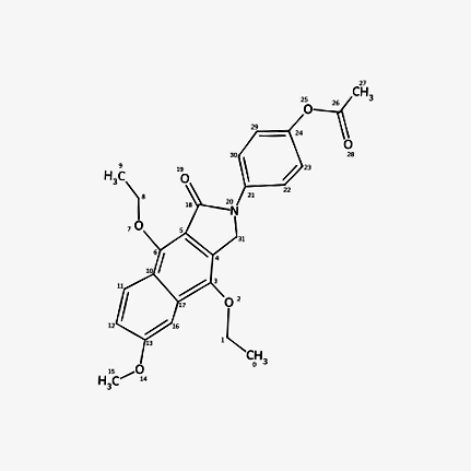 CCOc1c2c(c(OCC)c3ccc(OC)cc13)C(=O)N(c1ccc(OC(C)=O)cc1)C2